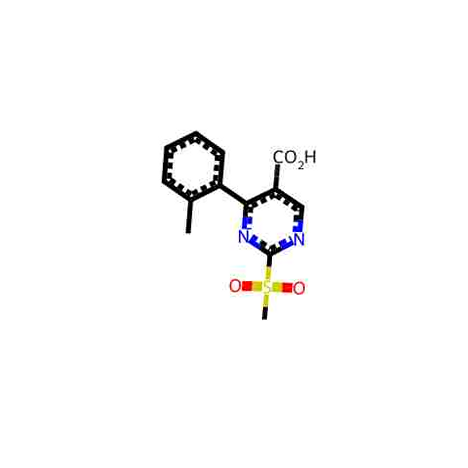 Cc1ccccc1-c1nc(S(C)(=O)=O)ncc1C(=O)O